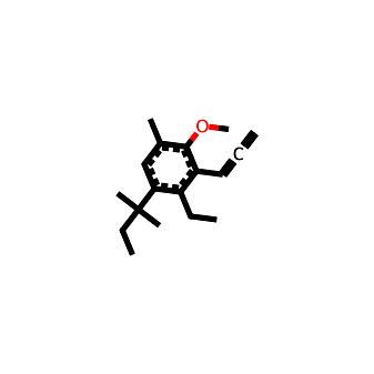 C=C=Cc1c(CC)c(C(C)(C)CC)cc(C)c1OC